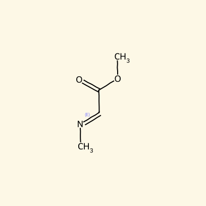 C/N=C/C(=O)OC